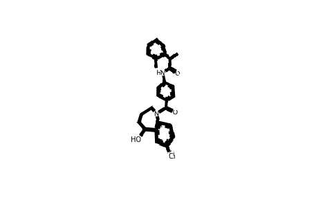 Cc1ccccc1C(C)C(=O)Nc1ccc(C(=O)N2CCCC(O)c3cc(Cl)ccc32)cc1